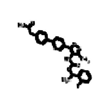 Cc1noc(-c2ccc(-c3ccc(CC(=O)O)cc3)nc2)c1NC(=O)OC(C)c1ccccc1F